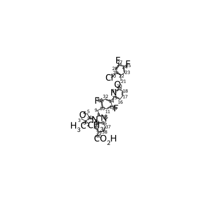 CC1(C)COC[C@H]1n1c(Cc2cc(F)c(-c3cccc(OCc4cc(F)c(F)cc4Cl)n3)cc2F)nc2ccc(C(=O)O)cc21